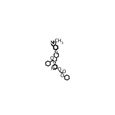 Cn1ncc2cc(N3CCC(CN(C(=O)C4CCCCC4)c4cncc(OCC(=O)OC5CCCCC5)c4)CC3)ccc21